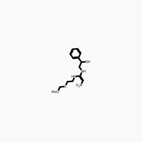 COCSCCN/C(=C\[N+](=O)[O-])NCC(O)c1ccccc1